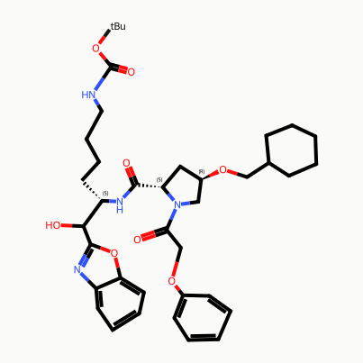 CC(C)(C)OC(=O)NCCCC[C@H](NC(=O)[C@@H]1C[C@@H](OCC2CCCCC2)CN1C(=O)COc1ccccc1)C(O)c1nc2ccccc2o1